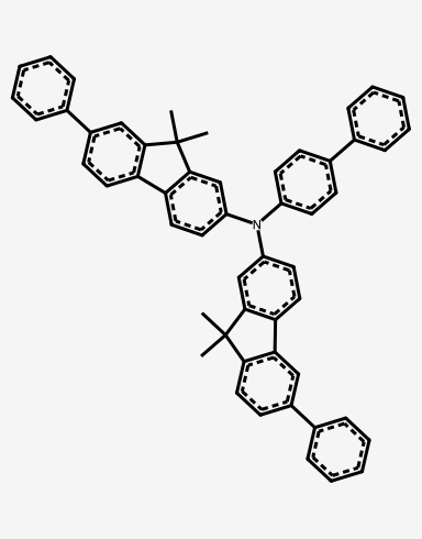 CC1(C)c2ccc(-c3ccccc3)cc2-c2ccc(N(c3ccc(-c4ccccc4)cc3)c3ccc4c(c3)C(C)(C)c3cc(-c5ccccc5)ccc3-4)cc21